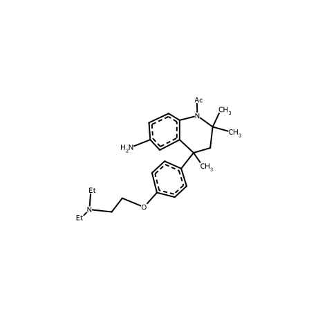 CCN(CC)CCOc1ccc(C2(C)CC(C)(C)N(C(C)=O)c3ccc(N)cc32)cc1